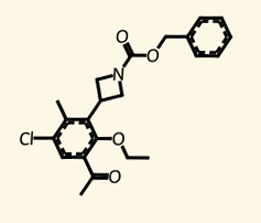 CCOc1c(C(C)=O)cc(Cl)c(C)c1C1CN(C(=O)OCc2ccccc2)C1